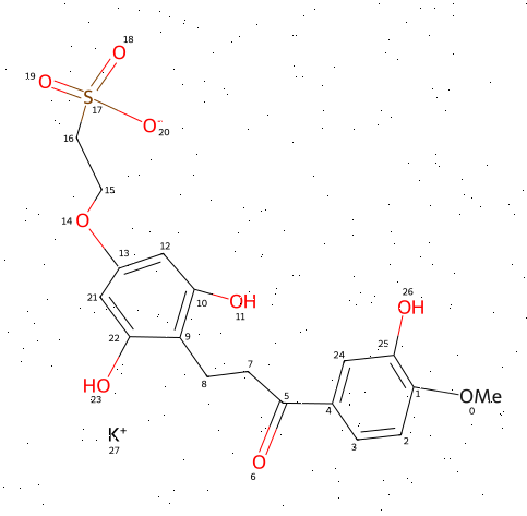 COc1ccc(C(=O)CCc2c(O)cc(OCCS(=O)(=O)[O-])cc2O)cc1O.[K+]